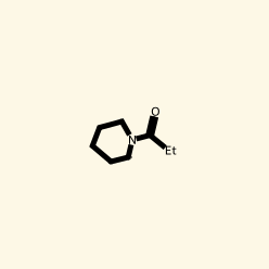 CCC(=O)N1[CH]CCCC1